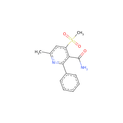 Cc1cc(S(C)(=O)=O)c(C(N)=O)c(-c2ccccc2)n1